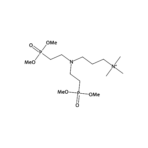 COP(=O)(CCN(CCC[N+](C)(C)C)CCP(=O)(OC)OC)OC